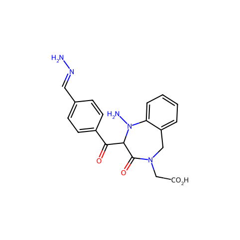 NN=Cc1ccc(C(=O)C2C(=O)N(CC(=O)O)Cc3ccccc3N2N)cc1